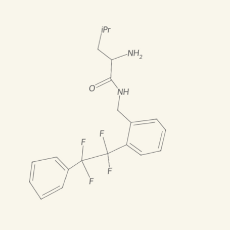 CC(C)CC(N)C(=O)NCc1ccccc1C(F)(F)C(F)(F)c1ccccc1